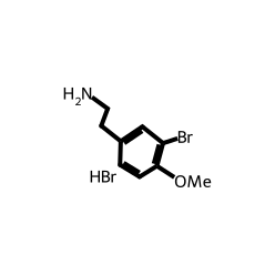 Br.COc1ccc(CCN)cc1Br